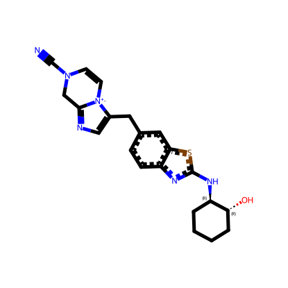 N#CN1C=C[N+]2C(Cc3ccc4nc(N[C@@H]5CCCC[C@H]5O)sc4c3)=CN=C2C1